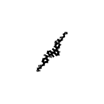 Cc1c(NC(=O)c2ccc(CNCCO)cc2)cccc1-c1cccc(-c2ccn3c(CNCCO)nnc3c2)c1C